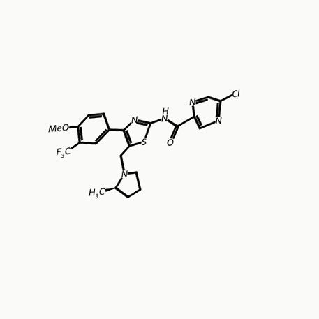 COc1ccc(-c2nc(NC(=O)c3cnc(Cl)cn3)sc2CN2CCC[C@H]2C)cc1C(F)(F)F